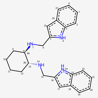 c1ccc2[nH]c(CN[C@@H]3CCCC[C@H]3NCc3cc4ccccc4[nH]3)cc2c1